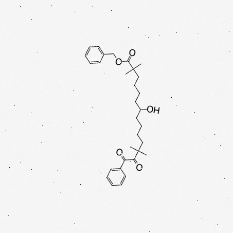 CC(C)(CCCCC(O)CCCCC(C)(C)C(=O)C(=O)c1ccccc1)C(=O)OCc1ccccc1